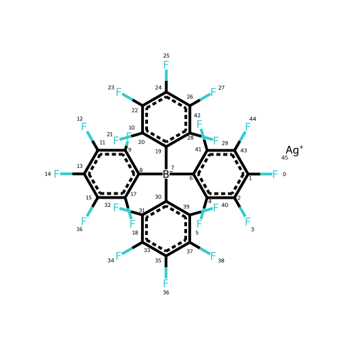 Fc1c(F)c(F)c([B-](c2c(F)c(F)c(F)c(F)c2F)(c2c(F)c(F)c(F)c(F)c2F)c2c(F)c(F)c(F)c(F)c2F)c(F)c1F.[Ag+]